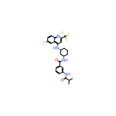 CC(C)C(=O)Nc1cccc(C(=O)N[C@@H]2CCC[C@H](Nc3cc(C(F)(F)F)nc4ccc(F)cc34)C2)c1